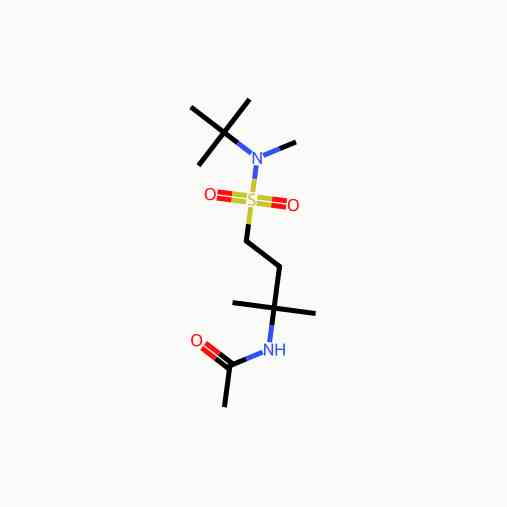 CC(=O)NC(C)(C)CCS(=O)(=O)N(C)C(C)(C)C